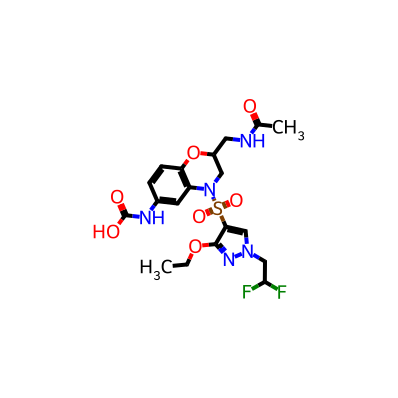 CCOc1nn(CC(F)F)cc1S(=O)(=O)N1CC(CNC(C)=O)Oc2ccc(NC(=O)O)cc21